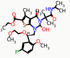 CCOC(=O)c1sc2c(c1C)C(=O)N(C(C)(C)C(=O)NC(C)C)C(O)N2C[C@H](OCCOC)c1cc(F)ccc1OC